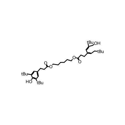 CC(C)(C)C/C=C(\C=C(/CO)C(C)(C)C)CCC(=O)OCCCCCCOC(=O)CCc1cc(C(C)(C)C)c(O)c(C(C)(C)C)c1